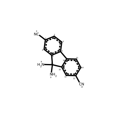 N#Cc1ccc2c(c1)C(N)(N)c1cc(C#N)ccc1-2